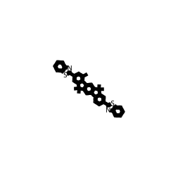 Cc1cc(-c2nc3ccccc3s2)cc2c1-c1cc3c(cc1C2(C)C)-c1ccc(-c2nc4ccccc4s2)cc1C3(C)C